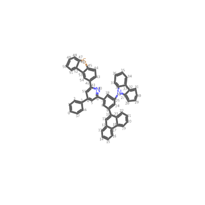 c1ccc(-c2cc(-c3cc(-c4cc5ccccc5c5ccccc45)cc(-n4c5ccccc5c5ccccc54)c3)nc(-c3ccc4sc5ccccc5c4c3)c2)cc1